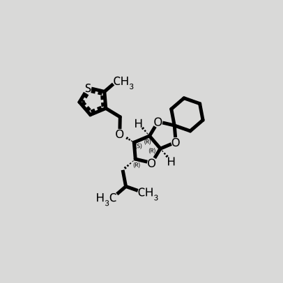 Cc1sccc1CO[C@@H]1[C@H]2OC3(CCCCC3)O[C@H]2O[C@@H]1CC(C)C